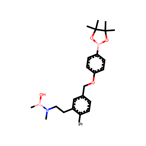 CB(O)N(C)CCc1cc(COc2ccc(B3OC(C)(C)C(C)(C)O3)cc2)ccc1C(C)C